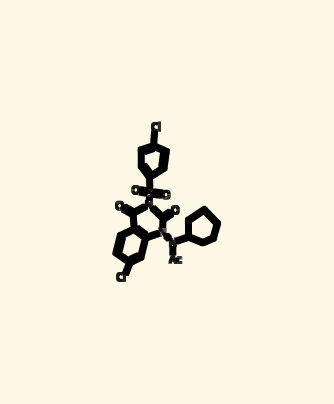 CC(=O)N(C1CCCCC1)n1c(=O)n(S(=O)(=O)c2ccc(Cl)cc2)c(=O)c2ccc(Cl)cc21